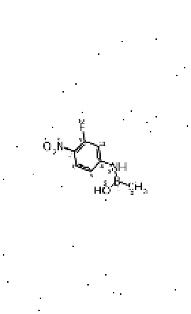 CB(O)Nc1ccc([N+](=O)[O-])c(F)c1